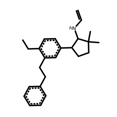 C=CNC1C(c2ccc(CC)c(CCc3ccccc3)c2)CCC1(C)C